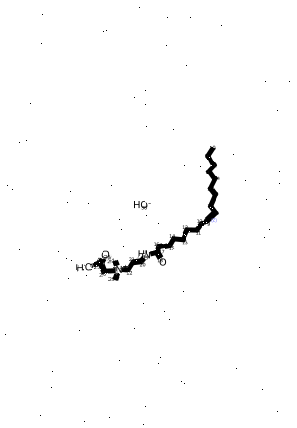 CCCCCCCC/C=C\CCCCCCCC(=O)NCCC[N+](C)(C)CC(=O)O.[OH-]